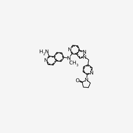 CN(c1ccc2c(N)nccc2c1)c1nccc2nn(Cc3ccc(N4CCCC4=O)nc3)cc12